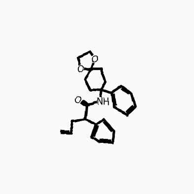 C=CCC(C(=O)NC1(c2ccccc2)CCC2(CC1)OCCO2)c1ccccc1